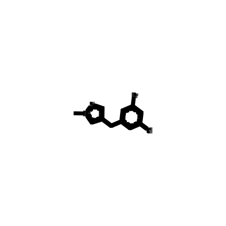 Cn1cc(Cc2cc(Cl)cc(Br)c2)cn1